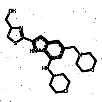 OCC1CSC(c2cc3cc(CN4CCOCC4)cc(NC4CCOCC4)c3[nH]2)=N1